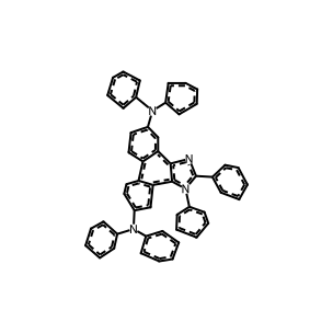 c1ccc(-c2nc3c4cc(N(c5ccccc5)c5ccccc5)ccc4c4ccc(N(c5ccccc5)c5ccccc5)cc4c3n2-c2ccccc2)cc1